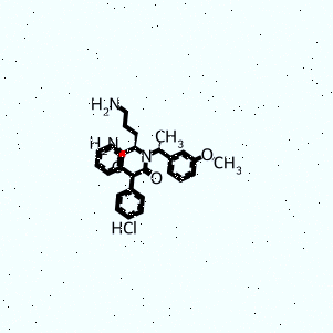 COc1cccc([C@@H](C)N(C(=O)C(c2ccccc2)c2ccccc2)[C@H](CCCN)C(N)=O)c1.Cl